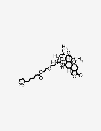 CC(C)[C@]12O[C@H]1[C@H](C)[C@@]13O[C@@]14CCC1=C(COC1=O)[C@@H]4C[C@@H]1O[C@@]13[C@@H]2OC(=O)NCCOCCOC(=O)CCCCC1CCSS1